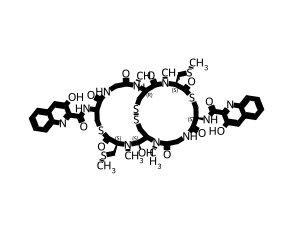 CSC[C@H]1C(=O)SC[C@@H](NC(=O)c2nc3ccccc3cc2O)C(=O)NCC(=O)N(C)C2CSSC[C@@H](C(=O)N1C)N(C)C(=O)CNC(=O)C(NC(=O)c1nc3ccccc3cc1O)CSC(=O)[C@H](CSC)N(C)[C@H]2O